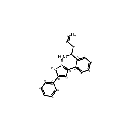 C=CCC(N)c1ccccc1-c1cc(-c2ccccc2)on1